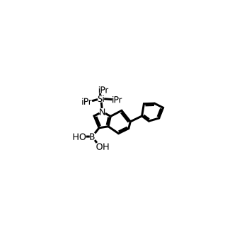 CC(C)[Si](C(C)C)(C(C)C)n1cc(B(O)O)c2ccc(-c3ccccc3)cc21